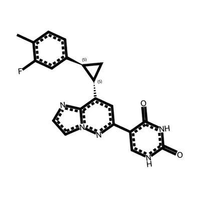 Cc1ccc([C@H]2C[C@@H]2c2cc(-c3c[nH]c(=O)[nH]c3=O)nn3ccnc23)cc1F